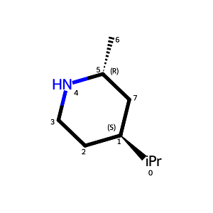 CC(C)[C@H]1CCN[C@H](C)C1